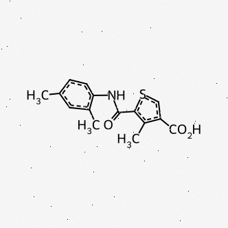 Cc1ccc(NC(=O)c2scc(C(=O)O)c2C)c(C)c1